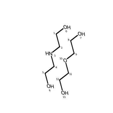 OCCNCCO.OCCOCCO